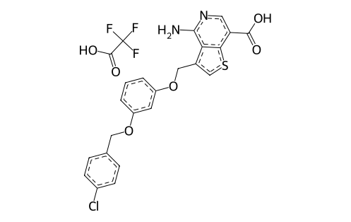 Nc1ncc(C(=O)O)c2scc(COc3cccc(OCc4ccc(Cl)cc4)c3)c12.O=C(O)C(F)(F)F